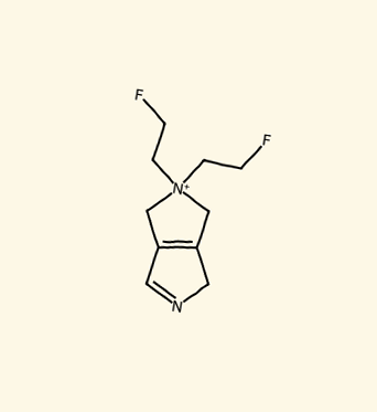 FCC[N+]1(CCF)CC2=C(CN=C2)C1